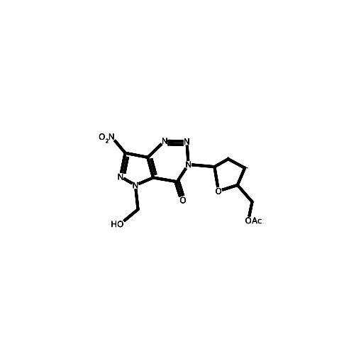 CC(=O)OCC1[CH][CH]C(n2nnc3c([N+](=O)[O-])nn(CO)c3c2=O)O1